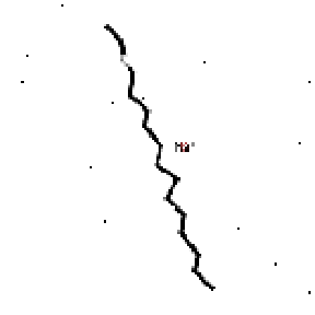 [Br-].[CH2]CCCCCCCCCCCCCCC.[Na+]